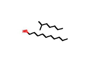 CCCCCC(C)C.CCCCCCCCCCO